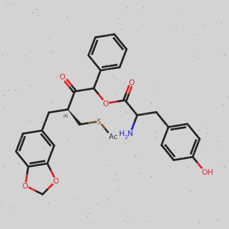 CC(=O)SC[C@@H](Cc1ccc2c(c1)OCO2)C(=O)C(OC(=O)C(N)Cc1ccc(O)cc1)c1ccccc1